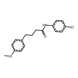 COc1ccc(CCCC(=O)Nc2ccc(Cl)cc2)cc1